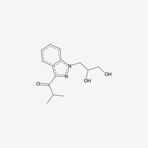 CC(C)C(=O)c1nn(CC(O)CO)c2ccccc12